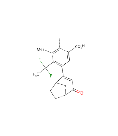 CSc1c(C)c(C(=O)O)cc(C2=CC(=O)C3CCC2C3)c1C(F)(F)C(F)(F)F